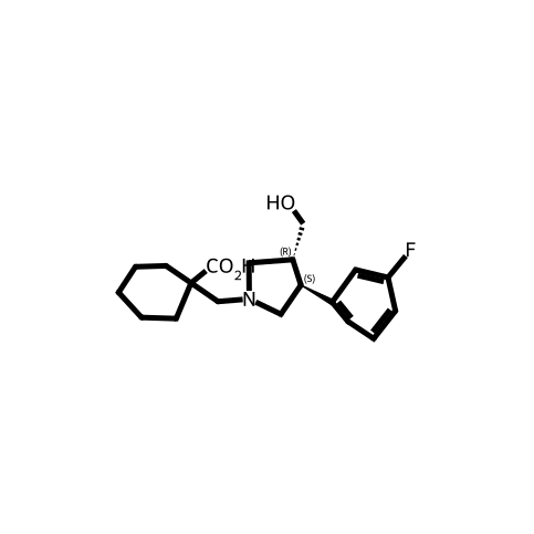 O=C(O)C1(CN2C[C@H](CO)[C@@H](c3cccc(F)c3)C2)CCCCC1